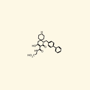 O=C(O)CNC(=O)C1=C(O)CC2(CCNCC2)N(Cc2ccc(-c3ccccc3)cc2)C1=O